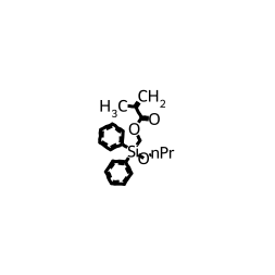 C=C(C)C(=O)OC[Si](OCCC)(c1ccccc1)c1ccccc1